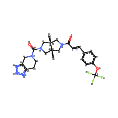 O=C(/C=C/c1ccc(OC(F)(F)F)cc1)N1C[C@@H]2CN(C(=O)N3CCc4[nH]nnc4C3)C[C@@H]2C1